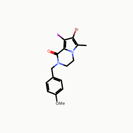 COc1ccc(CN2CCn3c(C)c(Br)c(I)c3C2=O)cc1